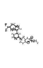 NS(=O)(=O)CC1CCCN(c2cc(-c3cnc4ccc(C(F)F)nn34)ccn2)C1